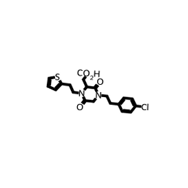 O=C(O)CC1C(=O)N(CCc2ccc(Cl)cc2)CC(=O)N1CCc1cccs1